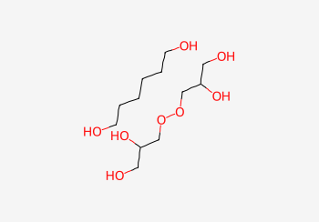 OCC(O)COOCC(O)CO.OCCCCCCO